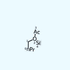 CCCCOC(C)=O.[Si]